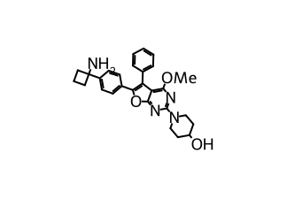 COc1nc(N2CCC(O)CC2)nc2oc(-c3ccc(C4(N)CCC4)cc3)c(-c3ccccc3)c12